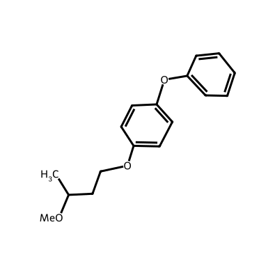 COC(C)CCOc1ccc(Oc2ccccc2)cc1